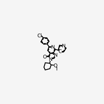 O=c1c2cc(-c3ccc(Cl)cc3)nc(-c3cccnc3)c2ncn1C1CCCCC1OI